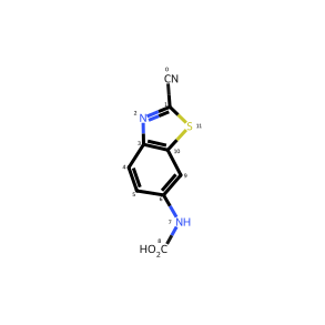 N#Cc1nc2ccc(NC(=O)O)cc2s1